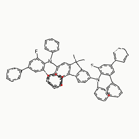 CC1(C)c2cc(N(c3ccccc3)c3c(F)cc(C4=CCCC=C4)cc3-c3ccccc3)ccc2-c2c1cc(N(c1ccccc1)c1c(F)cc(-c3ccccc3)cc1-c1ccccc1)c1ccccc21